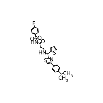 CC(C)c1ccc(-c2csc(C(NCCC(=O)NS(=O)(=O)c3ccc(F)cc3)c3cccs3)n2)cc1